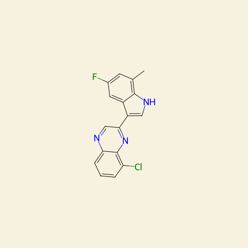 Cc1cc(F)cc2c(-c3cnc4cccc(Cl)c4n3)c[nH]c12